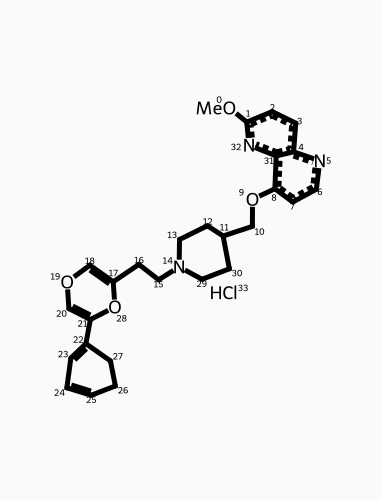 COc1ccc2nccc(OCC3CCN(CCC4=COC=C(C5=CC=CCC5)O4)CC3)c2n1.Cl